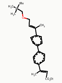 CCOC(=O)C=C(C)c1ccc(-c2ccc(C(C)=CCOC[Si](C)(C)C(C)(C)C)cc2)cc1